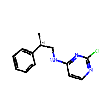 C[C@@H](CNc1ccnc(Cl)n1)c1ccccc1